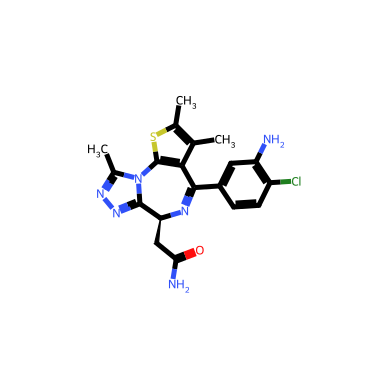 Cc1sc2c(c1C)C(c1ccc(Cl)c(N)c1)=N[C@@H](CC(N)=O)c1nnc(C)n1-2